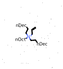 C=CC[N+](CCCCCCCC)(CCCCCCCCCCCC)CCCCCCCCCCCC